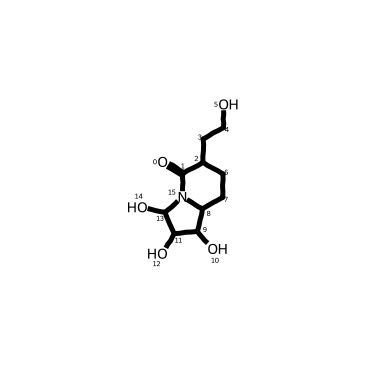 O=C1C(CCO)CCC2C(O)C(O)C(O)N12